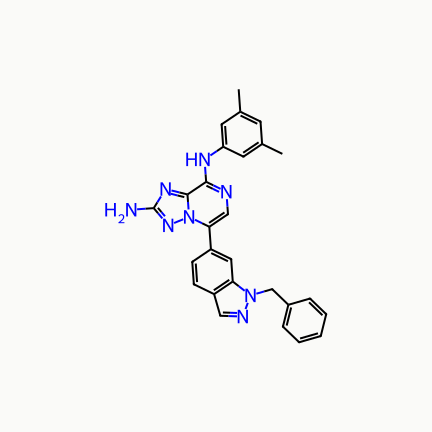 Cc1cc(C)cc(Nc2ncc(-c3ccc4cnn(Cc5ccccc5)c4c3)n3nc(N)nc23)c1